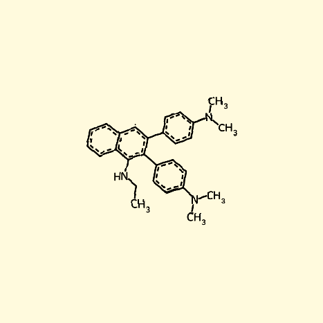 CCNc1c(-c2ccc(N(C)C)cc2)c(-c2ccc(N(C)C)cc2)[c]c2ccccc12